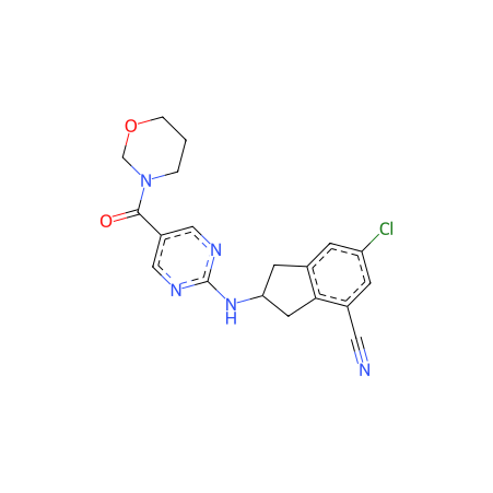 N#Cc1cc(Cl)cc2c1CC(Nc1ncc(C(=O)N3CCCOC3)cn1)C2